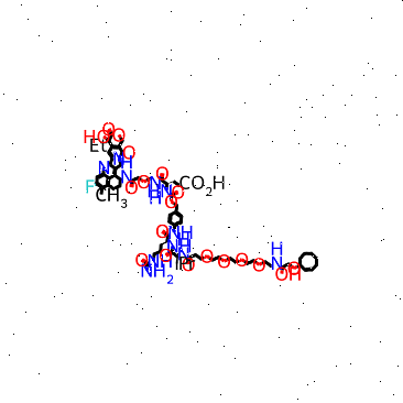 CC[C@@]1(O)C(=O)OCc2c1cc1n(c2=O)Cc2c-1nc1cc(F)c(C)c3c1c2[C@@H](NC(=O)COCNC(=O)[C@H](CCC(=O)O)NC(=O)OCc1ccc(NC(=O)[C@H](CCCNC(N)=O)NC(=O)[C@@H](NC(=O)CCOCCOCCOCCOCCNC(O)COC2/C=C\CCCCC2)C(C)C)cc1)CC3